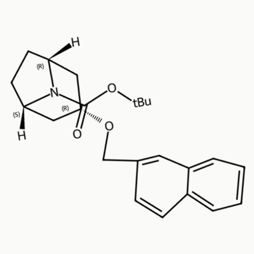 CC(C)(C)OC(=O)N1[C@@H]2CC[C@H]1C[C@@H](OCc1ccc3ccccc3c1)C2